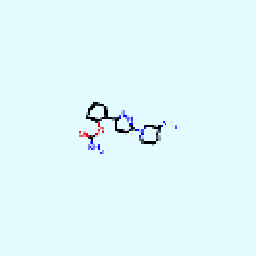 NC(=O)Oc1ccccc1-c1ccc(N2CCCC(N)C2)nn1